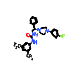 O=C(NCC(c1ccccc1)N1CCN(c2ccc(F)cc2)CC1)Nc1cc(C(F)(F)F)cc(C(F)(F)F)c1